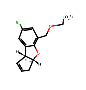 CCOC(=O)COCc1cc(Br)cc2c1O[C@@H]1CC=C[C@H]21